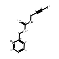 O=C(OCC#CI)OCc1ccccn1